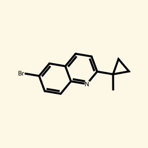 CC1(c2ccc3cc(Br)ccc3n2)CC1